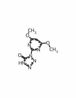 COc1cc(OC)nc(-n2nn[nH]c2=O)n1